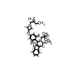 CCC(C)CN1CC(Oc2cc(F)c(C3c4[nH]c5ccccc5c4C[C@@H](C)N3CC(C)(C)F)c(F)c2)C1